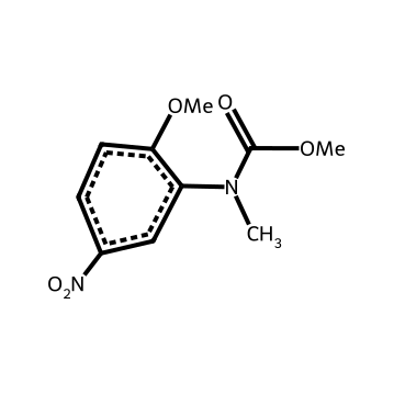 COC(=O)N(C)c1cc([N+](=O)[O-])ccc1OC